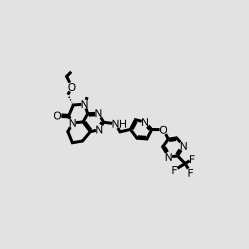 CCOC[C@H]1C(=O)N2CCCc3nc(NCc4ccc(Oc5cnc(C(F)(F)F)nc5)nc4)nc(c32)N1C